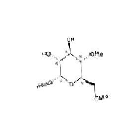 COC[C@H]1O[C@H](OC)[C@H](O)[C@@H](O)[C@@H]1OC